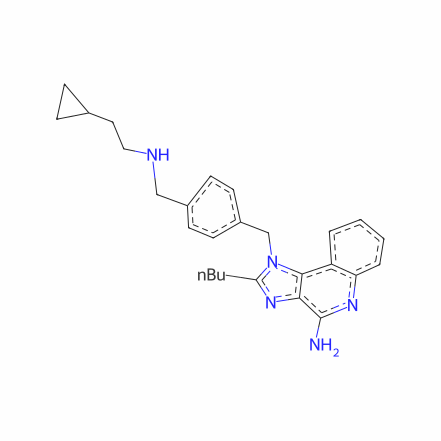 CCCCc1nc2c(N)nc3ccccc3c2n1Cc1ccc(CNCCC2CC2)cc1